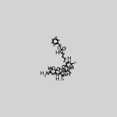 CC(=O)N[C@@H](CCCCNC(=O)OCc1ccccc1)C(=O)N[C@@H](C)C(=O)N[C@@H](C)C(O)N[C@@H](CC(N)=O)C(=O)O